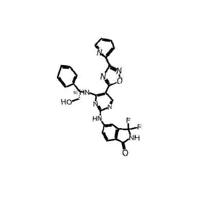 O=C1NC(F)(F)c2cc(Nc3ncc(-c4nc(-c5ccccn5)no4)c(N[C@H](CO)c4ccccc4)n3)ccc21